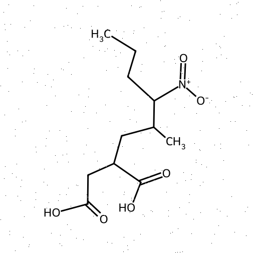 CCCC(C(C)CC(CC(=O)O)C(=O)O)[N+](=O)[O-]